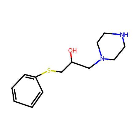 OC(CSc1ccccc1)CN1CCNCC1